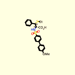 CCS[C@H](c1ccccc1)[C@@H](NS(=O)(=O)c1ccc(-c2ccc(OC)cc2)cc1)C(=O)O